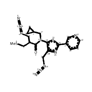 CSCC(CN=[N+]=[N-])C(=O)N(CC1CC1)c1sc(-c2cccnc2)nc1CN=[N+]=[N-]